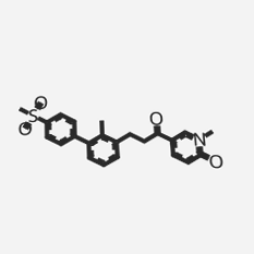 Cc1c(CCC(=O)c2ccc(=O)n(C)c2)cccc1-c1ccc(S(C)(=O)=O)cc1